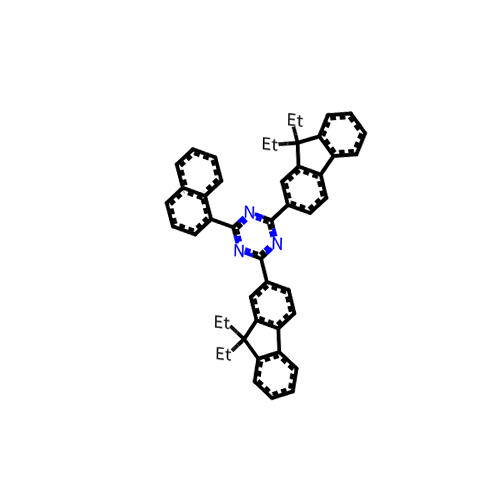 CCC1(CC)c2ccccc2-c2ccc(-c3nc(-c4ccc5c(c4)C(CC)(CC)c4ccccc4-5)nc(-c4cccc5ccccc45)n3)cc21